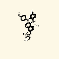 CCS(C)(=O)=Nc1cc(C)c2c(Nc3ccc(F)cc3OC3CCC(OC)CC3)ncnc2c1